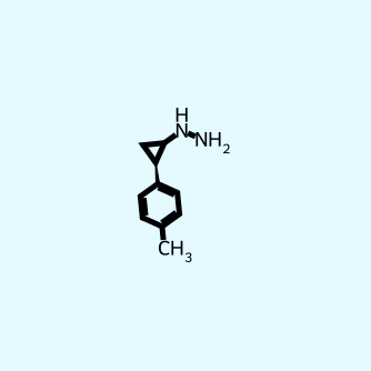 Cc1ccc([C@H]2CC2NN)cc1